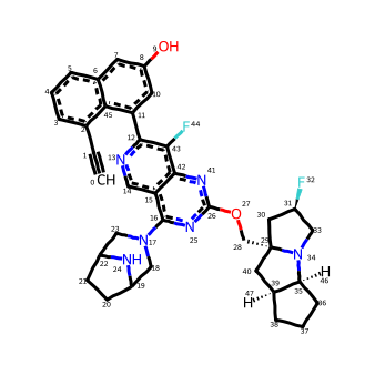 C#Cc1cccc2cc(O)cc(-c3ncc4c(N5CC6CCC(C5)N6)nc(OC[C@]56C[C@@H](F)CN5[C@H]5CCC[C@H]5C6)nc4c3F)c12